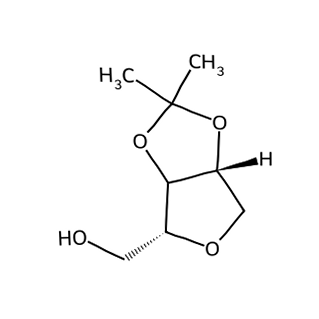 CC1(C)OC2[C@@H](CO)OC[C@H]2O1